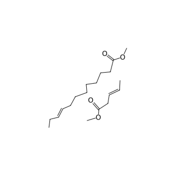 CC=CCC(=O)OC.CCC=CCCCCCCCC(=O)OC